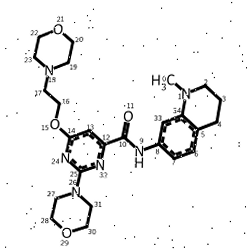 CN1CCCc2ccc(NC(=O)c3cc(OCCN4CCOCC4)nc(N4CCOCC4)n3)cc21